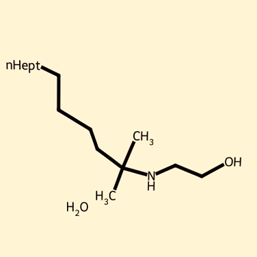 CCCCCCCCCCCC(C)(C)NCCO.O